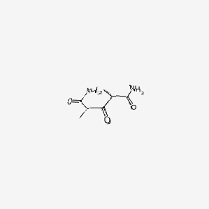 CC(C(N)=O)C(=O)C(C)C(N)=O